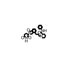 O=C1CCC(N2Cc3c(CCCN4CCCCC4C(=O)Nc4ccccc4)cccc3C2=O)C(=O)N1